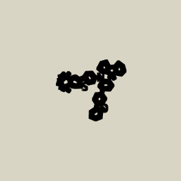 CC1(C)c2ccccc2-c2cccc(N(c3cccc(-c4ccc5c(c4)oc4ccccc45)c3)c3ccc4c(c3)sc3cc5c(cc34)C(C)(C)C(C)(C)C(C)(C)C5(C)C)c21